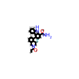 C=CC(=O)N1CCc2c(cccc2-c2c(F)cc(C(N)=O)c3[nH]c4ccccc4c23)C1